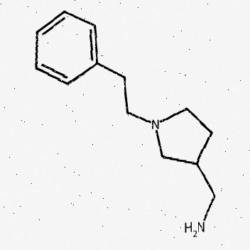 NCC1CCN(CCc2ccccc2)C1